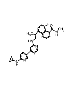 CNC(=O)c1ccnc2c([C@H](C)CNc3cc(-c4ccc(NC5CC5)nc4)ncn3)ccc(F)c12